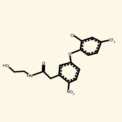 O=C(Cc1cc(Oc2ccc(C(F)(F)F)cc2Cl)ccc1[N+](=O)[O-])NCCO